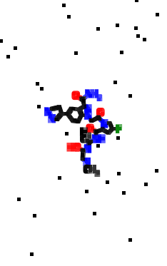 C=N/C=C(O)\N=C(/C)NC(=O)C1CC(F)CN1C(=O)Cn1nc(C(N)=O)c2cc(-c3ccnnc3)ccc21